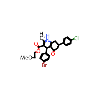 COCCOC(=O)C1=C(C)NC2=C(C(=O)CC(c3ccc(Cl)cc3)C2)C1c1ccc(Br)cc1